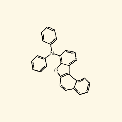 c1ccc(N(c2ccccc2)c2cccc3c2oc2ccc4ccccc4c23)cc1